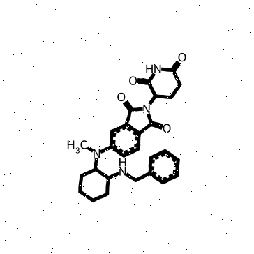 CN(c1ccc2c(c1)C(=O)N(C1CCC(=O)NC1=O)C2=O)C1CCCCC1NCc1ccccc1